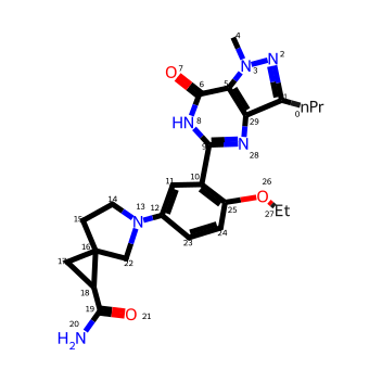 CCCc1nn(C)c2c(=O)[nH]c(-c3cc(N4CCC5(CC5C(N)=O)C4)ccc3OCC)nc12